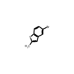 [CH2]c1cc2cc(Br)ccc2s1